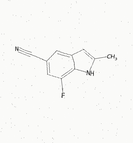 Cc1cc2cc(C#N)cc(F)c2[nH]1